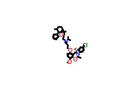 COc1ccc(OCCCN(CCOC23C(c4ccccc4)C(C)CCC2C3(C)C)C(C)C)c(C2Sc3cc(Cl)ccc3N2C(C)=O)c1